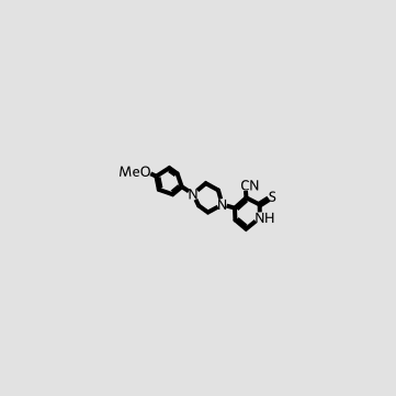 COc1ccc(N2CCN(c3cc[nH]c(=S)c3C#N)CC2)cc1